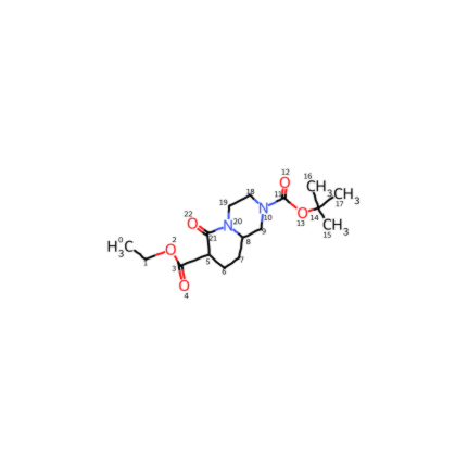 CCOC(=O)C1CCC2CN(C(=O)OC(C)(C)C)CCN2C1=O